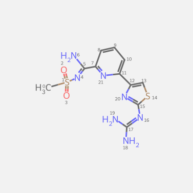 CS(=O)(=O)N=C(N)c1cccc(-c2csc(N=C(N)N)n2)n1